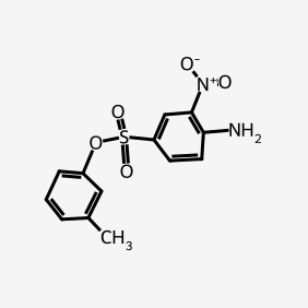 Cc1cccc(OS(=O)(=O)c2ccc(N)c([N+](=O)[O-])c2)c1